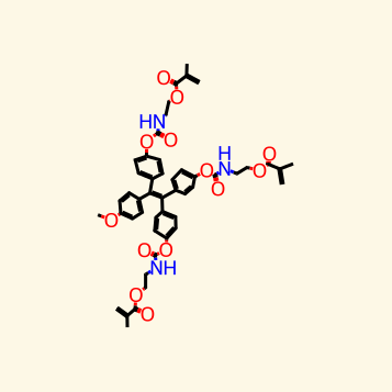 C=C(C)C(=O)OCCNC(=O)Oc1ccc(C(=C(c2ccc(OC(=O)NCCOC(=O)C(=C)C)cc2)c2ccc(OC(=O)NCCOC(=O)C(=C)C)cc2)c2ccc(OC)cc2)cc1